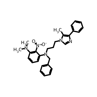 Cc1c(-c2ccccc2)ncn1CCCN(Cc1ccccc1)c1cccc(N(C)C)c1[N+](=O)[O-]